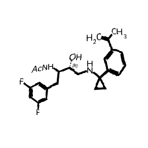 C=C(C)c1cccc(C2(NC[C@@H](O)C(Cc3cc(F)cc(F)c3)NC(C)=O)CC2)c1